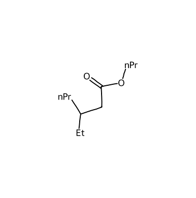 [CH2]CCOC(=O)CC(CC)CCC